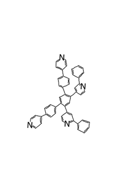 c1ccc(-c2cc(-c3cc(-c4ccnc(-c5ccccc5)c4)c(-c4ccc(-c5ccncc5)cc4)cc3-c3ccc(-c4ccncc4)cc3)ccn2)cc1